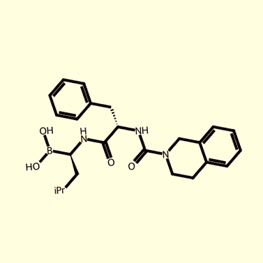 CC(C)C[C@H](NC(=O)[C@H](Cc1ccccc1)NC(=O)N1CCc2ccccc2C1)B(O)O